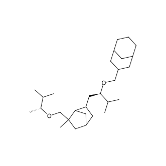 CC(C)[C@@H](C)OCC1(C)CC2CC(C[C@@H](OCC3CC4CCCC(C4)C3)C(C)C)C1C2